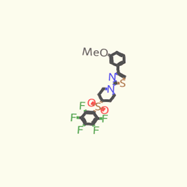 COc1cccc(-c2csc(N3CCC(S(=O)(=O)c4c(F)c(F)c(F)c(F)c4F)CC3)n2)c1